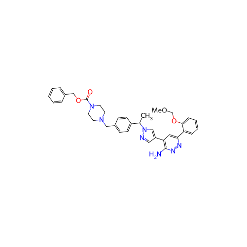 COCOc1ccccc1-c1cc(-c2cnn(C(C)c3ccc(CN4CCN(C(=O)OCc5ccccc5)CC4)cc3)c2)c(N)nn1